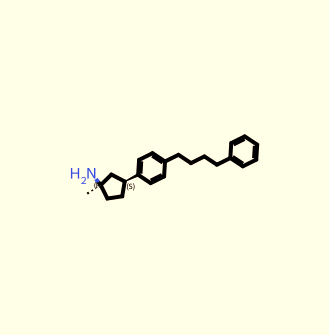 C[C@@]1(N)CC[C@H](c2ccc(CCCCc3ccccc3)cc2)C1